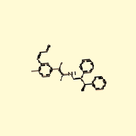 C=C/C=C\c1cc(/C(C)=C(\C)N/C=C(/C(=C)c2ccccc2)c2ccccc2)ccc1C